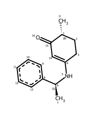 C[C@@H]1CCC(N[C@@H](C)c2ccccc2)=CC1=O